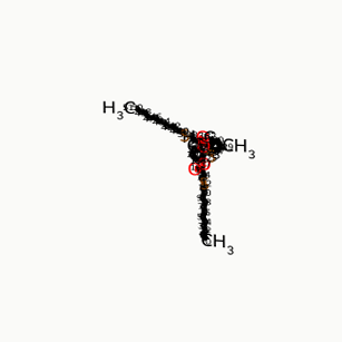 CCCCCCCCCCCCSCCC(=O)Oc1ccc(C)cc1Sc1cc(C)cc(C)c1OC(=O)CCSCCCCCCCCCCCC